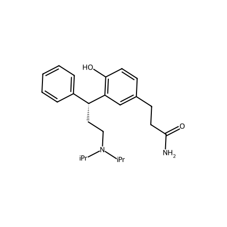 CC(C)N(CC[C@H](c1ccccc1)c1cc(CCC(N)=O)ccc1O)C(C)C